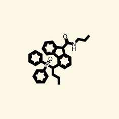 CCCNC(=O)C1c2ccccc2-c2c1cccc2C(CCC)P(=O)(c1ccccc1)c1ccccc1